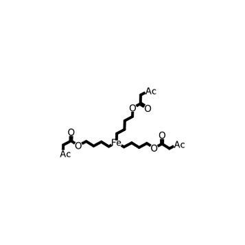 CC(=O)CC(=O)OCCC[CH2][Fe]([CH2]CCCOC(=O)CC(C)=O)[CH2]CCCOC(=O)CC(C)=O